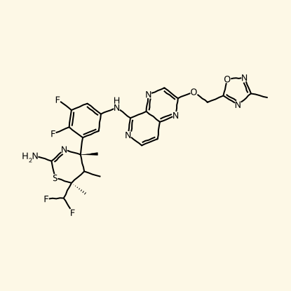 Cc1noc(COc2cnc3c(Nc4cc(F)c(F)c([C@@]5(C)N=C(N)S[C@](C)(C(F)F)C5C)c4)nccc3n2)n1